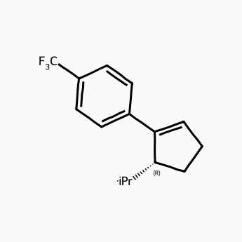 C[C](C)[C@H]1CCC=C1c1ccc(C(F)(F)F)cc1